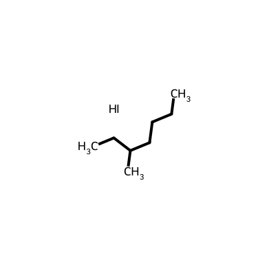 CCCCC(C)CC.I